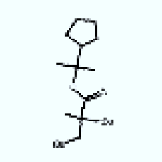 CC(C)(C)CC(C)(C(=O)OC(C)(C)C1CCCC1)C(C)(C)C